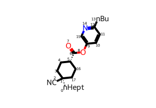 CCCCCCC[C@]1(C#N)CC[C@H](C(=O)Oc2ccc(CCCC)nc2)CC1